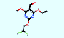 CCOc1nc(OCC(F)F)nc(OC)c1C=O